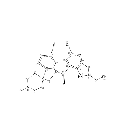 C[C@@H](OCC1(c2ccc(F)cc2)CCN(C)CC1)c1cc(Cl)cc2c1NN(CC#N)C2